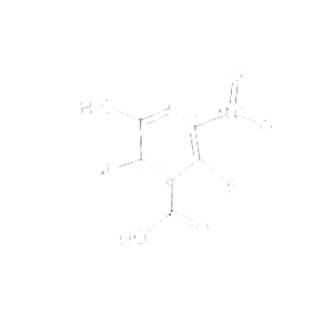 Cc1cc([N+](=O)[O-])c(F)c(C(=O)O)c1F